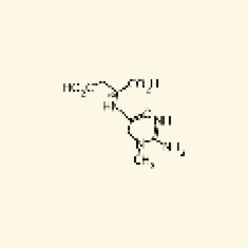 CN(CC(=O)N[C@@H](CC(=O)O)C(=O)O)C(=N)N